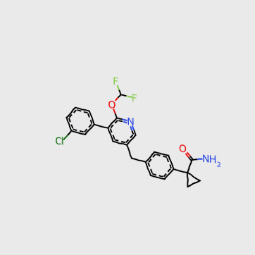 NC(=O)C1(c2ccc(Cc3cnc(OC(F)F)c(-c4cccc(Cl)c4)c3)cc2)CC1